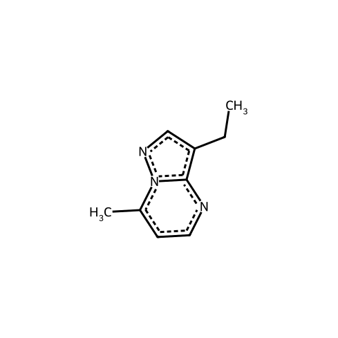 CCc1cnn2c(C)ccnc12